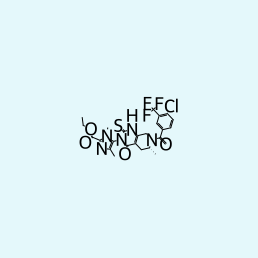 CCOC(=O)c1nc(C)c(-n2c(=S)[nH]c3c(c2=O)C[C@@H](C)N(C(=O)c2ccc(Cl)c(C(F)(F)F)c2)C3)n1C